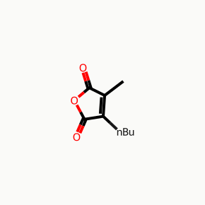 CCCCC1=C(C)C(=O)OC1=O